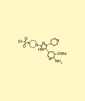 CCS(=O)(=O)N1CCN(c2nc(-c3ccncc3)c(-c3cnc(N)c(OC)c3)[nH]2)CC1